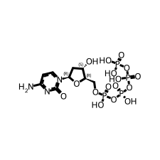 Nc1ccn([C@H]2C[C@H](O)[C@@H](COP(=O)(O)OP(=O)(O)OP(=O)(O)OP(=O)(O)O)O2)c(=O)n1